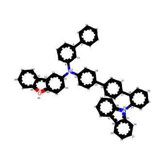 c1ccc(-c2cccc(N(c3ccc(-c4ccc(-c5ccccc5-n5c6ccccc6c6ccccc65)cc4)cc3)c3ccc4oc5ccccc5c4c3)c2)cc1